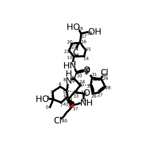 CC1(O)CCC2(CC1)N[C@@H](C(=O)NC13CCC(C(O)O)(CC1)CC3)[C@H](c1cccc(Cl)c1F)[C@]21C(=O)Nc2cc(Cl)ccc21